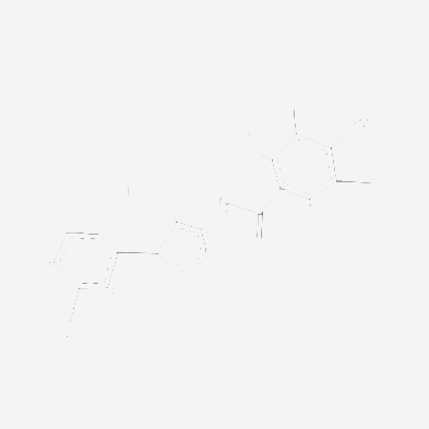 COc1c(Br)cc(C(=O)Nc2scc(-c3cccc(F)c3)c2C(=O)O)c(Br)c1Br